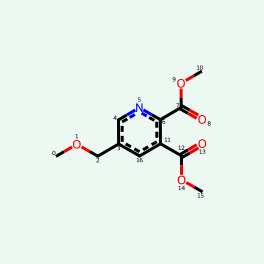 COCc1cnc(C(=O)OC)c(C(=O)OC)c1